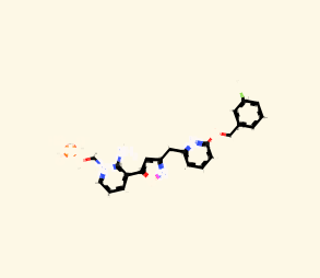 Nc1c(-c2cc(Cc3cccc(OCc4cccc(F)c4)n3)no2)ccc[n+]1COP(=O)([O-])O